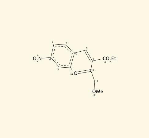 CCOC(=O)/C(=C/c1ccc([N+](=O)[O-])cc1)C(=O)COC